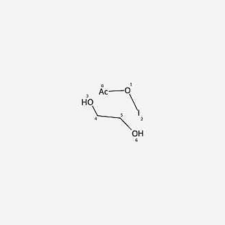 CC(=O)OI.OCCO